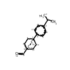 CC(C)c1ccc(C23CCC(C=O)(CC2)CC3)cc1